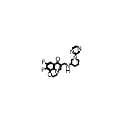 O=c1c(CNC2CCCN(c3cnccn3)C2)cn2c3c(c(F)c(F)cc13)OCC2